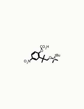 CC(C)(CO[Si](C)(C)C(C)(C)C)c1cc([N+](=O)[O-])ccc1OC(=O)O